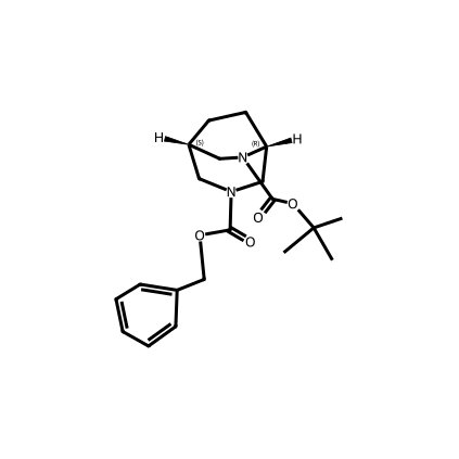 CC(C)(C)OC(=O)N1C[C@H]2CC[C@@H]1CN(C(=O)OCc1ccccc1)C2